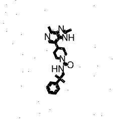 Cc1nc2c(C)ncc(C3CCN(C(=O)NCC(C)(C)c4ccccc4)CC3)c2[nH]1